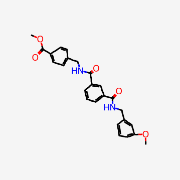 COC(=O)c1ccc(CNC(=O)c2cccc(C(=O)NCc3cccc(OC)c3)c2)cc1